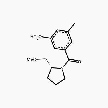 COC[C@H]1CCCN1C(=O)c1cc(C)cc(C(=O)O)c1